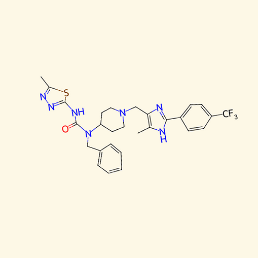 Cc1nnc(NC(=O)N(Cc2ccccc2)C2CCN(Cc3nc(-c4ccc(C(F)(F)F)cc4)[nH]c3C)CC2)s1